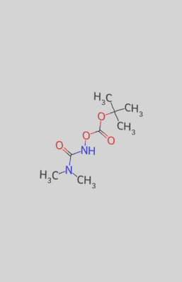 CN(C)C(=O)NOC(=O)OC(C)(C)C